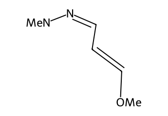 CN/N=C\C=C\OC